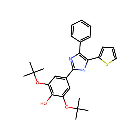 CC(C)(C)Oc1cc(-c2nc(-c3ccccc3)c(-c3cccs3)[nH]2)cc(OC(C)(C)C)c1O